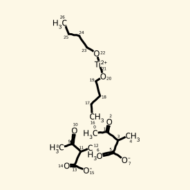 CC(=O)C(C)C(=O)[O-].CC(=O)C(C)C(=O)[O-].CCCC[O][Ti+2][O]CCCC